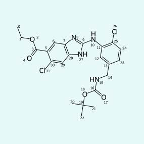 CCOC(=O)c1cc2nc(Nc3cc(CNC(=O)OC(C)(C)C)ccc3Cl)[nH]c2cc1Cl